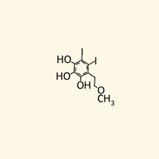 COCCc1c(O)c(O)c(O)c(I)c1I